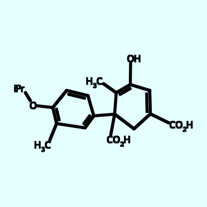 CC1=C(O)C=C(C(=O)O)CC1(C(=O)O)c1ccc(OC(C)C)c(C)c1